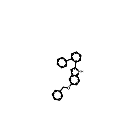 c1ccc(COc2ccc3[nH]c(-c4ccccc4-c4ccccc4)cc3c2)cc1